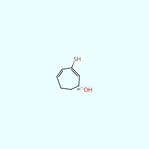 O[C@H]1C=C(S)C=CCC1